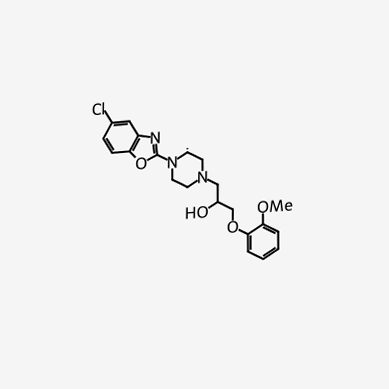 COc1ccccc1OCC(O)CN1C[CH]N(c2nc3cc(Cl)ccc3o2)CC1